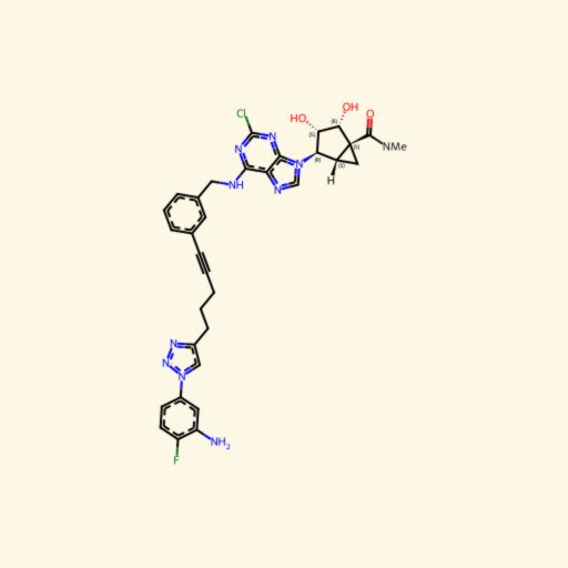 CNC(=O)[C@@]12C[C@@H]1[C@@H](n1cnc3c(NCc4cccc(C#CCCCc5cn(-c6ccc(F)c(N)c6)nn5)c4)nc(Cl)nc31)[C@H](O)[C@@H]2O